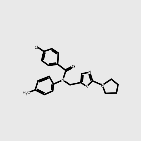 Cc1ccc(N(Cc2cnc(N3CCCC3)s2)C(=O)c2ccc(Cl)cc2)cc1